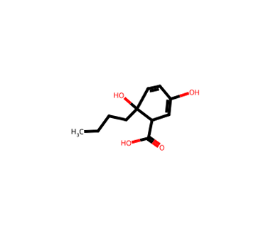 CCCCC1(O)C=CC(O)=CC1C(=O)O